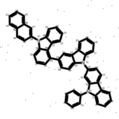 c1ccc(-n2c3ccccc3c3ccc(-n4c5ccccc5c5cc(-c6cccc7c6c6ccccc6n7-c6ccc7ccccc7c6)ccc54)cc32)cc1